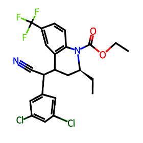 CCOC(=O)N1c2ccc(C(F)(F)F)cc2C(C(C#N)c2cc(Cl)cc(Cl)c2)C[C@@H]1CC